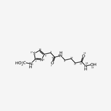 O=C(O)Nc1nc(CC(=O)NCCCC(=O)NO)cs1